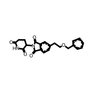 O=C1CCC(N2C(=O)c3ccc(CCOCc4ccccc4)cc3C2=O)C(=O)N1